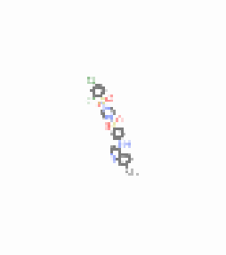 O=S(=O)(c1ccc(Nc2ccnc3cc(C(F)(F)F)ccc23)cc1)N1CCN(S(=O)(=O)c2ccc(Cl)cc2Cl)CC1